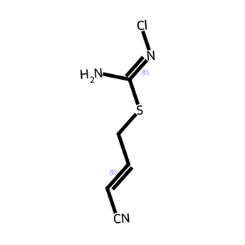 N#C/C=C/CS/C(N)=N/Cl